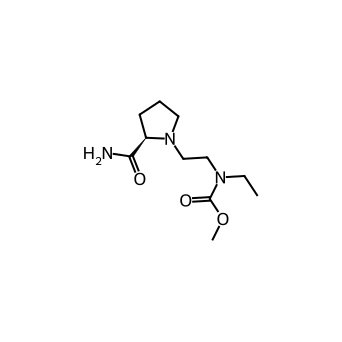 CCN(CCN1CCC[C@@H]1C(N)=O)C(=O)OC